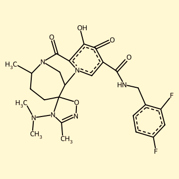 CC1=NOC2(CCC(C)N3CC2n2cc(C(=O)NCc4ccc(F)cc4F)c(=O)c(O)c2C3=O)N1N(C)C